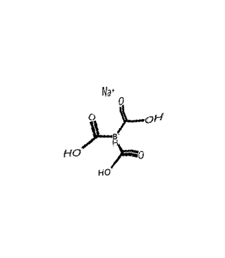 O=C(O)[BH-](C(=O)O)C(=O)O.[Na+]